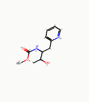 CC(O)C(Cc1ccccn1)NC(=O)OC(C)(C)C